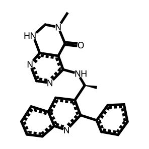 C[C@H](Nc1ncnc2c1C(=O)N(C)CN2)c1cc2ccccc2nc1-c1ccccc1